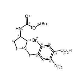 CC(C)(C)OC(=O)NC1CCN(Cc2cc(N)c(C(=O)O)cc2Br)C1